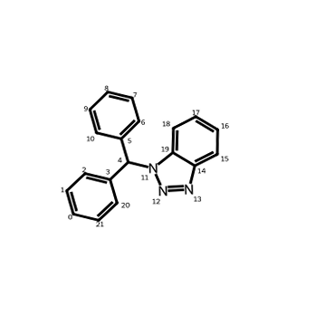 c1ccc(C(c2ccccc2)n2nnc3ccccc32)cc1